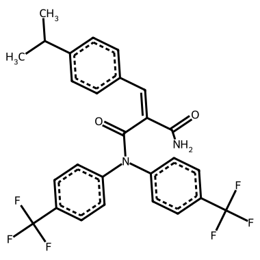 CC(C)c1ccc(C=C(C(N)=O)C(=O)N(c2ccc(C(F)(F)F)cc2)c2ccc(C(F)(F)F)cc2)cc1